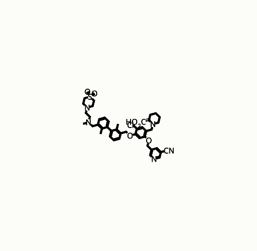 Cc1c(COc2cc(OCc3cncc(C#N)c3)c(CN3CCCC[C@H]3C(=O)O)cc2Cl)cccc1-c1cccc(CN(C)CCN2CCS(=O)(=O)CC2)c1C